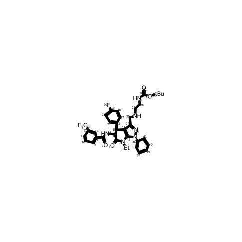 CCN1C(=O)C(NC(=O)c2cccc(C(F)(F)F)c2)C(c2ccc(F)cc2)c2c(CNCCNC(=O)OC(C)(C)C)nn(-c3ccccc3)c21